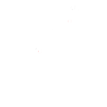 FC(F)(F)OC=COc1ccccc1